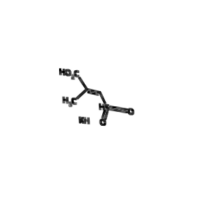 CC(=C[SH](=O)=O)C(=O)O.[KH]